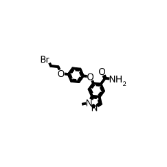 Cn1ncc2cc(C(N)=O)c(Oc3ccc(OCCBr)cc3)cc21